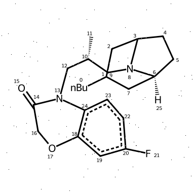 CCCCC1CC2CC[C@@H](C1)N2C[C@@H](C)CN1C(=O)COc2cc(F)ccc21